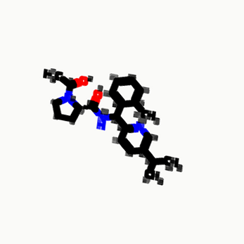 CC(=O)N1CCC[C@H]1C(=O)NC(c1ccc(C(C)C)cn1)c1ccccc1C